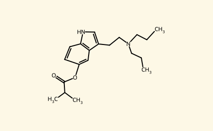 CCCN(CCC)CCc1c[nH]c2ccc(OC(=O)C(C)C)cc12